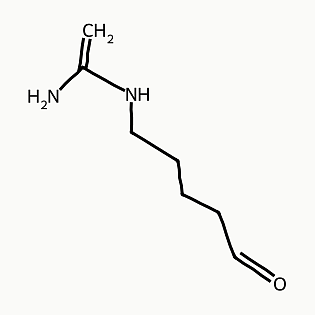 C=C(N)NCCCCC=O